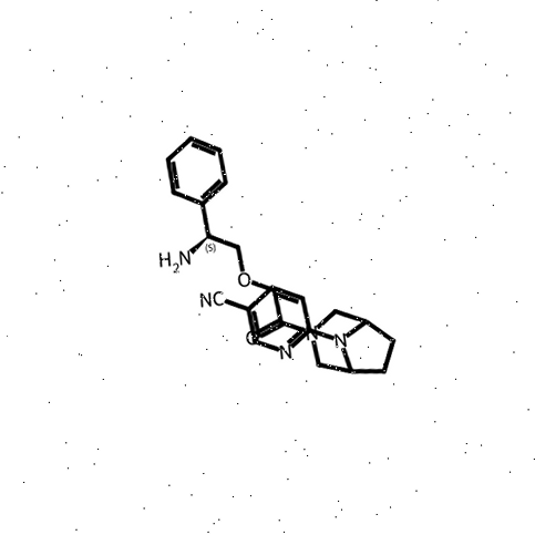 N#Cc1ccc(N2C3CCC2CN(C(=O)COC[C@@H](N)c2ccccc2)C3)nc1